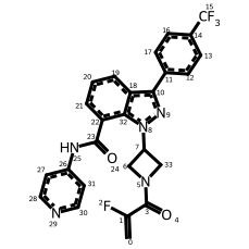 C=C(F)C(=O)N1CC(n2nc(-c3ccc(C(F)(F)F)cc3)c3cccc(C(=O)Nc4ccncc4)c32)C1